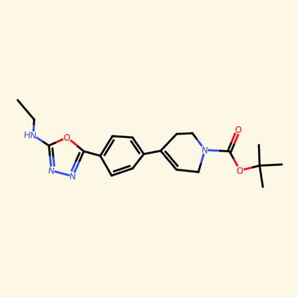 CCNc1nnc(-c2ccc(C3=CCN(C(=O)OC(C)(C)C)CC3)cc2)o1